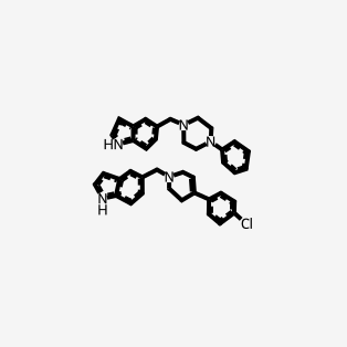 Clc1ccc(C2=CCN(Cc3ccc4[nH]ccc4c3)CC2)cc1.c1ccc(N2CCN(Cc3ccc4[nH]ccc4c3)CC2)cc1